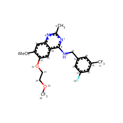 COc1cc2nc(C)nc(NCc3cc(F)cc(C(F)(F)F)c3)c2cc1OCCOC(F)(F)F